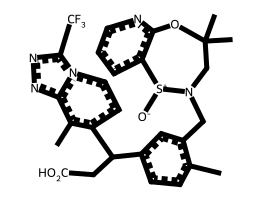 Cc1ccc(C(CC(=O)O)c2ccn3c(C(F)(F)F)nnc3c2C)cc1CN1CC(C)(C)Oc2ncccc2[S+]1[O-]